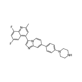 Cc1cc(-c2cnc3cc(-c4ccc(N5CCNCC5)cc4)ccn23)c2cc(F)cc(F)c2n1